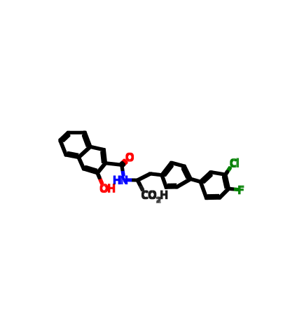 O=C(NC(Cc1ccc(-c2ccc(F)c(Cl)c2)cc1)C(=O)O)c1cc2ccccc2cc1O